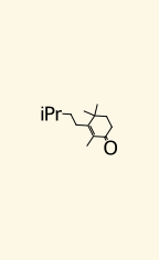 CC1=C(CCC(C)C)C(C)(C)CCC1=O